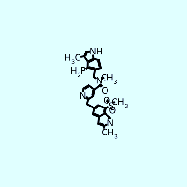 Cc1cc2cc(Cc3cc(C(=O)N(C)Cc4ccc5[nH]cc(C)c5c4P)ccn3)cc(S(C)(=O)=O)c2cn1